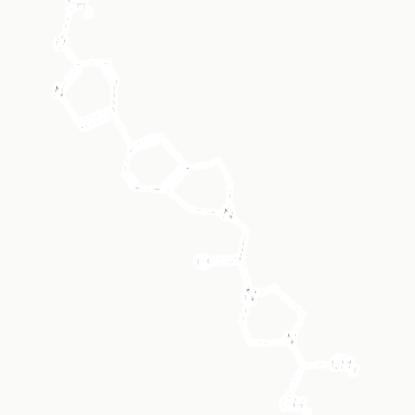 COc1ccc(-c2ccc3c(c2)CCN(CC(=O)N2CCN(C(C)C)CC2)C3)cn1